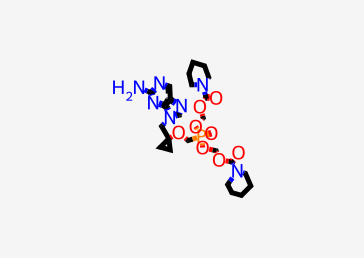 Nc1ncc2ncn(CC3(OCP(=O)(OCOC(=O)N4CCCCC4)OCOC(=O)N4CCCCC4)CC3)c2n1